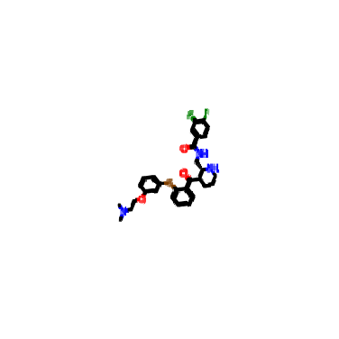 CN(C)CCOc1cccc(Sc2ccccc2C(=O)C2CCCN[C@@H]2CNC(=O)c2ccc(F)c(F)c2)c1